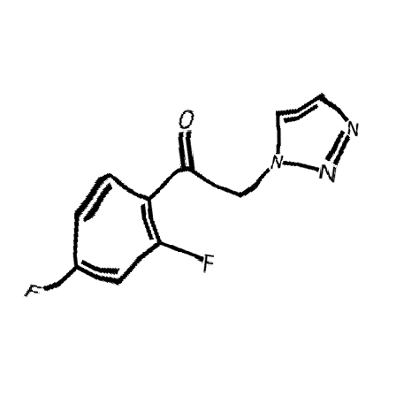 O=C(Cn1ccnn1)c1ccc(F)cc1F